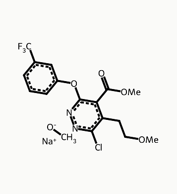 COCCc1c(Cl)nnc(Oc2cccc(C(F)(F)F)c2)c1C(=O)OC.C[O-].[Na+]